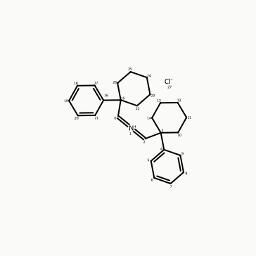 C(=[N+]=CC1(c2ccccc2)CCCCC1)C1(c2ccccc2)CCCCC1.[Cl-]